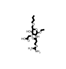 CCCCOCC1O[C@@H](OCC)C(NC(=O)CCN=C(N)N)C(OCC(=O)O)[C@@H]1O